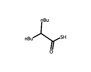 CCCCC(CCCC)C(=O)S